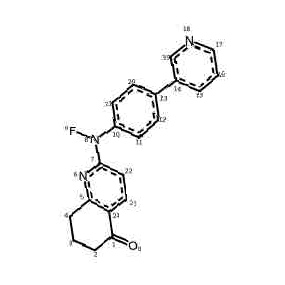 O=C1CCCc2nc(N(F)c3ccc(-c4cccnc4)cc3)ccc21